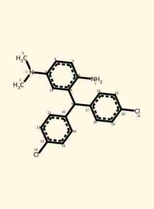 CN(C)c1ccc(N)c(C(c2ccc(Cl)cc2)c2ccc(Cl)cc2)c1